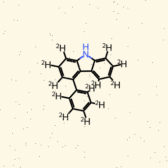 [2H]c1c([2H])c([2H])c(-c2c([2H])c([2H])c([2H])c3[nH]c4c([2H])c([2H])c([2H])c([2H])c4c23)c([2H])c1[2H]